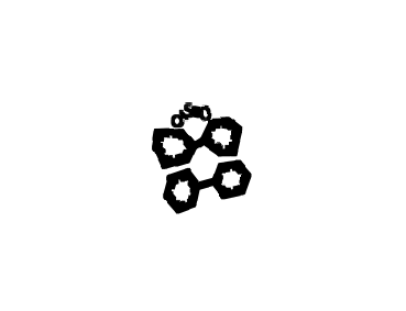 O=S=O.c1ccc(-c2ccccc2)cc1.c1ccc(-c2ccccc2)cc1